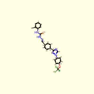 Cc1ccccc1NC(=S)N/N=C/c1ccc(-c2ncn(-c3ccc(OC(F)(F)F)cc3)n2)cc1